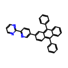 c1ccc(-c2c3ccccc3c(-c3ccccc3)c3cc(-c4ccc(-c5ncccn5)nc4)ccc23)cc1